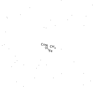 C.N.[Co].[Fe]